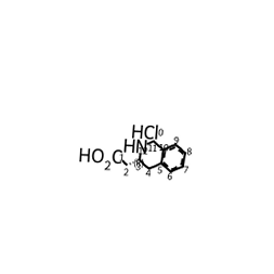 Cl.O=C(O)C[C@H]1Cc2ccccc2CN1